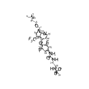 C[Si](C)(C)CCOCn1cc(C(F)(F)F)c2c(Oc3c(F)cc(NC(=O)NCCNS(C)(=O)=O)cc3F)ccnc21